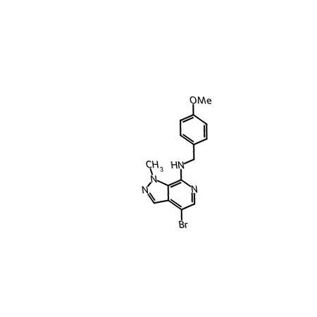 COc1ccc(CNc2ncc(Br)c3cnn(C)c23)cc1